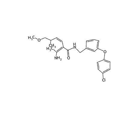 COCC(C)/C=C\C(C(=O)NCc1cccc(Oc2ccc(Cl)cc2)c1)=C(/C)N